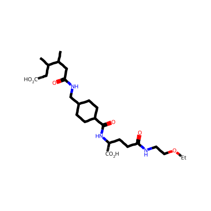 CCOCCNC(=O)CCC(NC(=O)C1CCC(CNC(=O)CC(C)C(C)CC(=O)O)CC1)C(=O)O